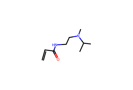 C=CC(=O)NCCN(C)C(C)C